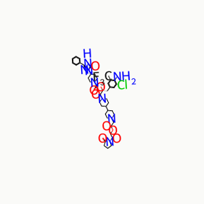 Nc1c(Cl)cc(C[C@@H](OC(=O)N2CCC(n3nc(-c4ccccc4)[nH]c3=O)CC2)C(=O)N2CCC(C3CCN(CC(=O)OCC(=O)N4CCCC4=O)CC3)CC2)cc1C(F)(F)F